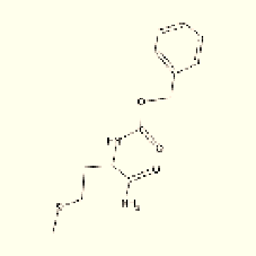 CSCCC(NC(=O)OCc1ccccc1)C(N)=O